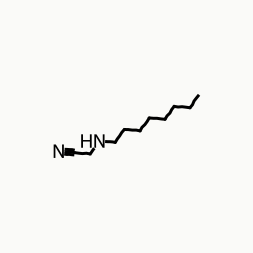 CCCCCCCCNCC#N